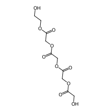 O=C(CO)OCC(=O)OCC(=O)OCC(=O)OCCO